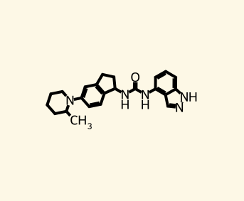 CC1CCCCN1c1ccc2c(c1)CCC2NC(=O)Nc1cccc2[nH]ncc12